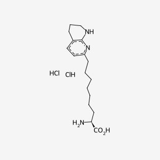 Cl.Cl.N[C@@H](CCCCCCCc1ccc2c(n1)NCCC2)C(=O)O